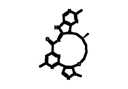 Cc1cc2nc(n1)-c1cnn(C)c1OCCC[C@@H](C)CN1/C(=N/C2=O)Nc2cnc(C)nc21